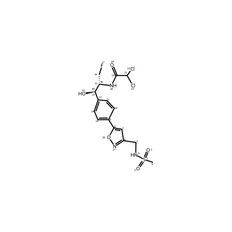 CS(=O)(=O)NCc1cc(-c2ccc([C@@H](O)[C@H](CF)NC(=O)C(Cl)Cl)cc2)on1